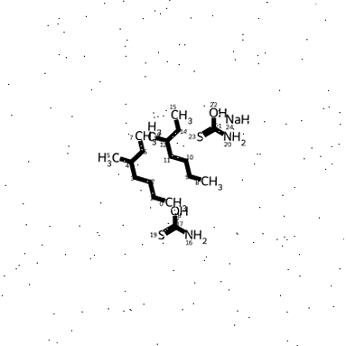 CCCCC(C)CC.CCCCC(C)CC.NC(O)=S.NC(O)=S.[NaH]